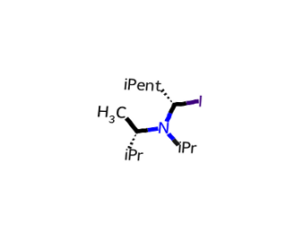 CCCC(C)[C@H](I)N(C(C)C)[C@@H](C)C(C)C